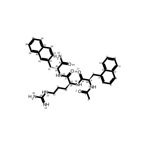 CC(=O)N[C@H](Cc1cccc2ccccc12)C(=O)N[C@@H](CCCNC(=N)N)C(=O)N[C@H](Cc1ccc2ccccc2c1)C(N)=O